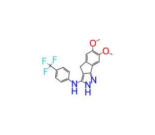 COc1cc2c(cc1OC)-c1n[nH]c(Nc3ccc(C(F)(F)F)cc3)c1C2